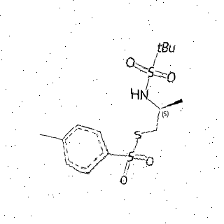 Cc1ccc(S(=O)(=O)SC[C@H](C)NS(=O)(=O)C(C)(C)C)cc1